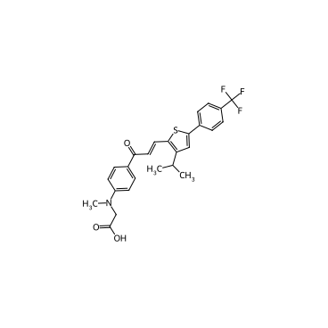 CC(C)c1cc(-c2ccc(C(F)(F)F)cc2)sc1/C=C/C(=O)c1ccc(N(C)CC(=O)O)cc1